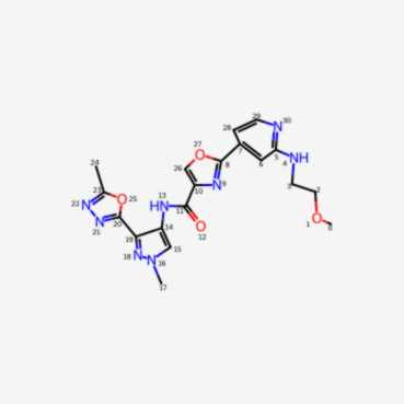 COCCNc1cc(-c2nc(C(=O)Nc3cn(C)nc3-c3nnc(C)o3)co2)ccn1